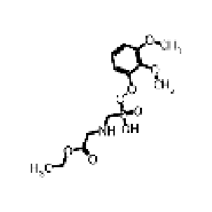 CCOC(=O)CNCP(=O)(O)OOc1cccc(OC)c1OC